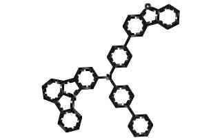 c1ccc(-c2ccc(N(c3ccc(-c4ccc5oc6ccccc6c5c4)cc3)c3ccc4c5cccc6c7ccccc7n(c4c3)c65)cc2)cc1